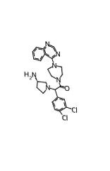 N[C@@H]1CCN(C(C(=O)N2CCN(c3ncnc4ccccc34)CC2)c2ccc(Cl)c(Cl)c2)C1